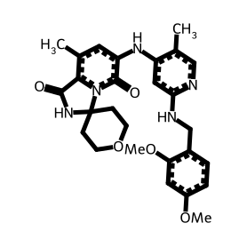 COc1ccc(CNc2cc(Nc3cc(C)c4n(c3=O)C3(CCOCC3)NC4=O)c(C)cn2)c(OC)c1